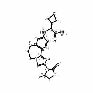 C[C@@H]1COC(=O)N1c1cn2c(n1)-c1ccc(NC(C(N)=O)C3CCC3)cc1OCC2